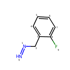 N=NCc1ccccc1F